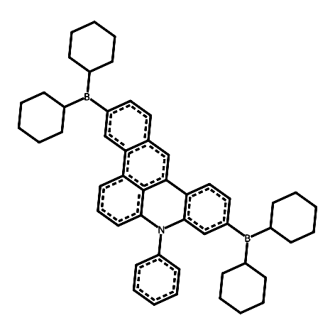 c1ccc(N2c3cc(B(C4CCCCC4)C4CCCCC4)ccc3-c3cc4ccc(B(C5CCCCC5)C5CCCCC5)cc4c4cccc2c34)cc1